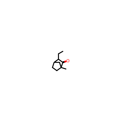 CCC1C(=O)C2(C)CCC1C2